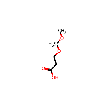 CO[SiH2]OCCC(=O)O